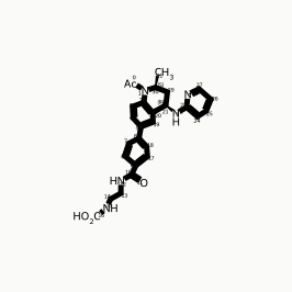 CC(=O)N1c2ccc(-c3ccc(C(=O)NCCNC(=O)O)cc3)cc2[C@H](Nc2ccccn2)C[C@@H]1C